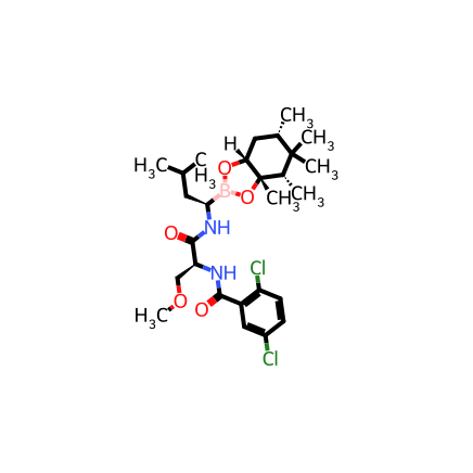 COC[C@H](NC(=O)c1cc(Cl)ccc1Cl)C(=O)N[C@@H](CC(C)C)B1O[C@@H]2C[C@H](C)C(C)(C)[C@H](C)[C@]2(C)O1